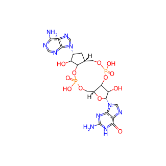 Nc1nc2c(ncn2[C@@H]2O[C@@H]3COP(=O)(O)OC4C(O)[C@H](n5cnc6c(N)ncnc65)C[C@@H]4COP(=O)(O)OC3C2O)c(=O)[nH]1